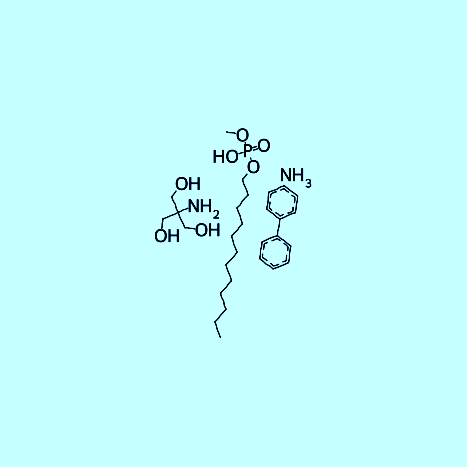 CCCCCCCCCCCCOP(=O)(O)OC.N.NC(CO)(CO)CO.c1ccc(-c2ccccc2)cc1